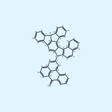 O=C1c2ccccc2-c2nc(-n3c4ccc5ccccc5c4c4c5c6ccccc6n6c7ccccc7c(cc43)c56)nc3cccc1c23